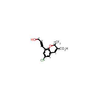 O=C(O)C1=Cc2cc(Cl)cc(C#CCO)c2OC1C(F)(F)F